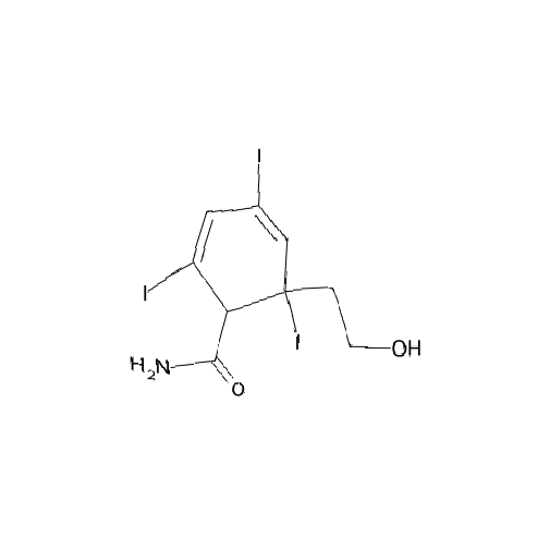 NC(=O)C1C(I)=CC(I)=CC1(I)CCO